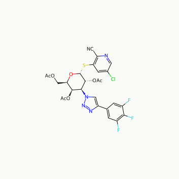 CC(=O)OC[C@H]1O[C@H](Sc2cc(Cl)cnc2C#N)[C@H](OC(C)=O)[C@@H](n2cc(-c3cc(F)c(F)c(F)c3)nn2)[C@H]1OC(C)=O